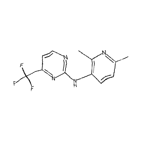 Cc1ccc(Nc2nccc(C(F)(F)F)n2)c(C)n1